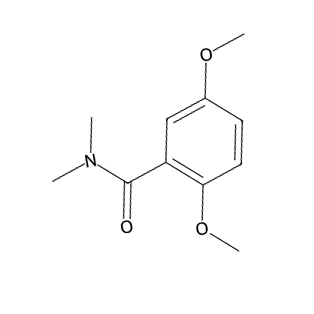 COc1ccc(OC)c(C(=O)N(C)C)c1